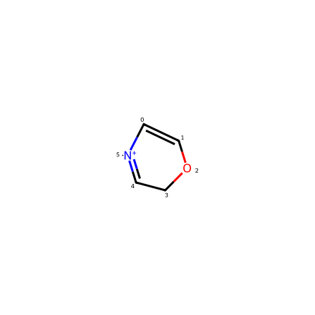 C1=COCC=[N+]1